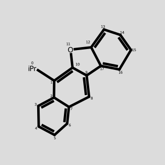 CC(C)c1c2ccccc2cc2c1oc1ccccc12